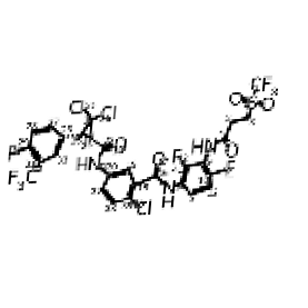 O=C(CCS(=O)(=O)C(F)(F)F)Nc1c(F)ccc(NC(=O)c2cc(NC(=O)[C@H]3[C@H](c4ccc(F)c(C(F)(F)F)c4)C3(Cl)Cl)ccc2Cl)c1F